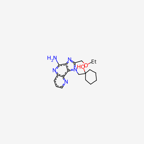 CCOCc1nc2c(N)nc3cccnc3c2n1CC1(O)CCCCC1